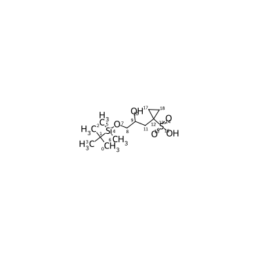 CC(C)(C)[Si](C)(C)OCC(O)CC1(S(=O)(=O)O)CC1